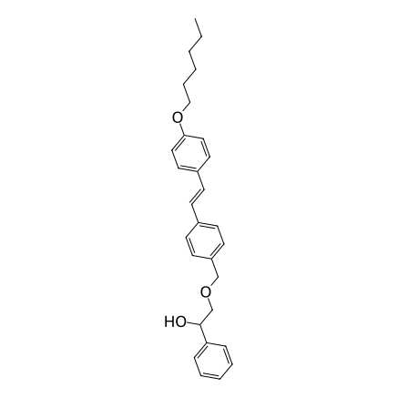 CCCCCCOc1ccc(C=Cc2ccc(COCC(O)c3ccccc3)cc2)cc1